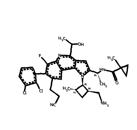 CC(O)c1nc2c(F)c(-c3cccc(Cl)c3Cl)c(CCC#N)cc2c2c1cc([C@@H](C)NC(=O)C1(C)CC1)n2[C@H]1[C@@H](CN)C[C@@H]1C